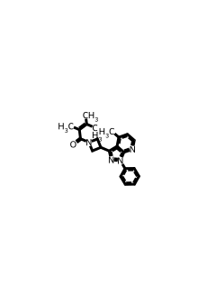 CC(C)=C(C)C(=O)N1CC(c2nn(-c3ccccc3)c3nccc(C)c23)C1